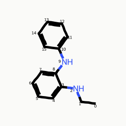 CCNc1ccccc1Nc1ccccc1